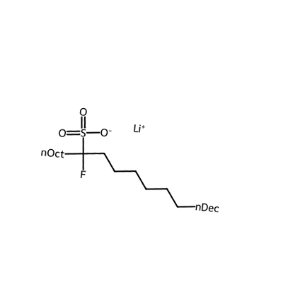 CCCCCCCCCCCCCCCCC(F)(CCCCCCCC)S(=O)(=O)[O-].[Li+]